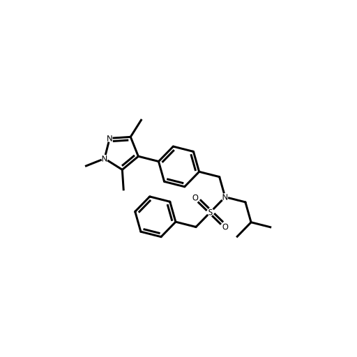 Cc1nn(C)c(C)c1-c1ccc(CN(CC(C)C)S(=O)(=O)Cc2ccccc2)cc1